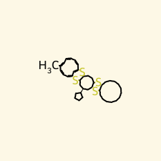 CC1=C\C=C/C=C\C2=CC(=C/C=C\1)\SC1C[C@H](C3CCCC3)CC3SC4CCCCCCCCCCCCC4SC3CCC1S2